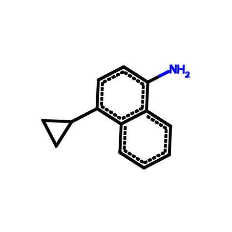 Nc1ccc(C2CC2)c2ccccc12